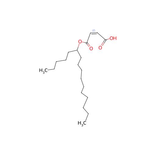 CCCCCCCCCCC(CCCCC)OC(=O)/C=C\C(=O)O